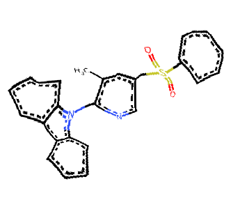 Cc1cc(S(=O)(=O)c2ccccc2)cnc1-n1c2ccccc2c2ccccc21